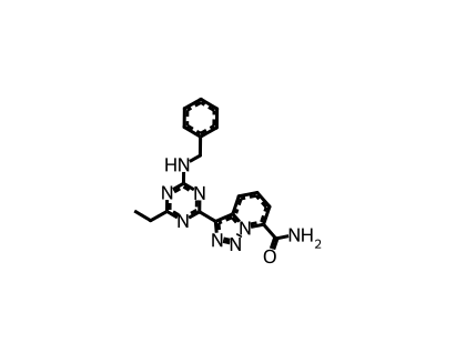 CCc1nc(NCc2ccccc2)nc(-c2nnn3c(C(N)=O)cccc23)n1